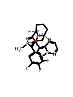 Cn1nc2c(c1-c1cc(F)c(F)c(F)c1)C[C@@H]1CCC[C@H]2N1C(=O)c1cnn2ncccc12